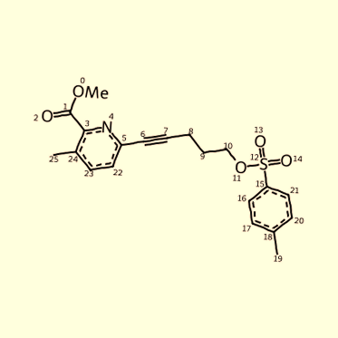 COC(=O)c1nc(C#CCCCOS(=O)(=O)c2ccc(C)cc2)ccc1C